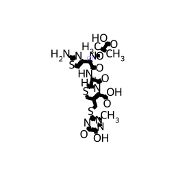 Cn1nc(O)c(=O)nc1SCC1=C(C(=O)O)N2C(=O)[C@@H](NC(=O)/C(=N\OC(C)(C)C(=O)O)c3csc(N)n3)[C@H]2SC1